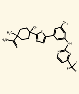 Cc1cc(Nc2nccc(C(F)(F)F)n2)cc(-c2cnc([C@]3(O)CC[C@](C)(C(N)=O)CC3)s2)c1